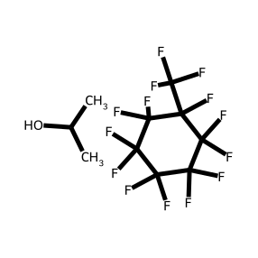 CC(C)O.FC(F)(F)C1(F)C(F)(F)C(F)(F)C(F)(F)C(F)(F)C1(F)F